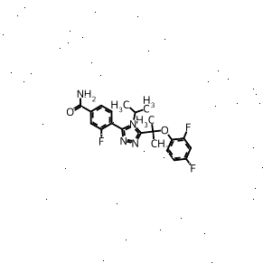 CC(C)n1c(-c2ccc(C(N)=O)cc2F)nnc1C(C)(C)Oc1ccc(F)cc1F